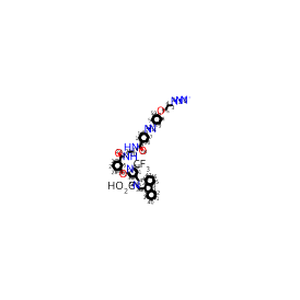 [N-]=[N+]=NCCCOc1ccc(N=Nc2ccc(C(=O)NCCNC(=O)c3cccc(Oc4cc(CN(CC5c6ccccc6-c6ccccc65)C(=O)O)cc(C(F)(F)F)n4)c3)cc2)cc1